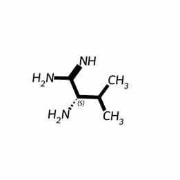 CC(C)[C@H](N)C(=N)N